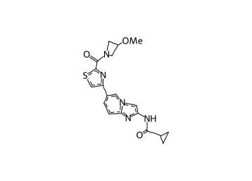 COC1CN(C(=O)c2nc(-c3ccc4nc(NC(=O)C5CC5)cn4c3)cs2)C1